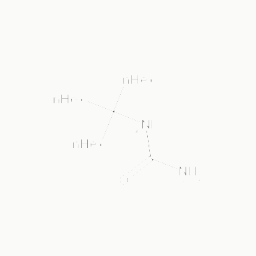 CCCCCCC(CCCCCC)(CCCCCC)NC(N)=O